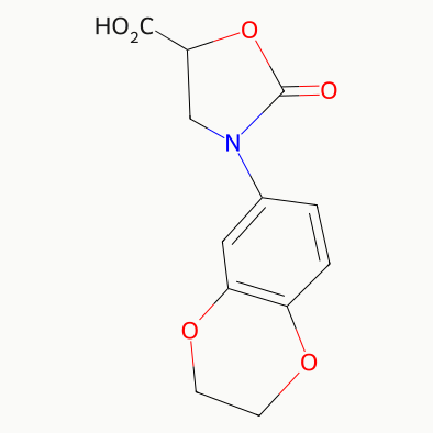 O=C(O)C1CN(c2ccc3c(c2)OCCO3)C(=O)O1